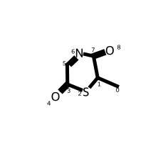 CC1SC(=O)C=NC1=O